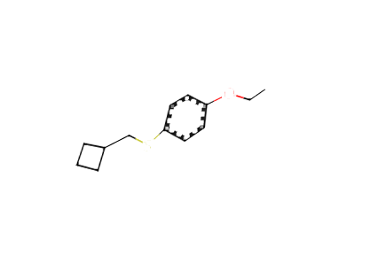 CCOc1ccc(SCC2CCC2)cc1